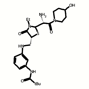 CCN1C(=O)[C@@H](CNc2cccc(NC(=O)C(C)(C)C)c2)SC1[C@H](N)C(=O)N1CCC(O)CC1